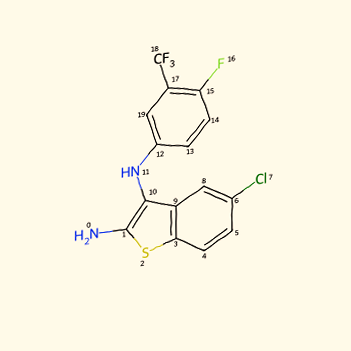 Nc1sc2ccc(Cl)cc2c1Nc1ccc(F)c(C(F)(F)F)c1